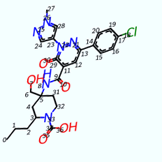 CCCC1CC(CO)(NC(=O)c2cc(-c3ccc(Cl)cc3)nn(-c3cnn(C)c3)c2=O)CCN1C(=O)O